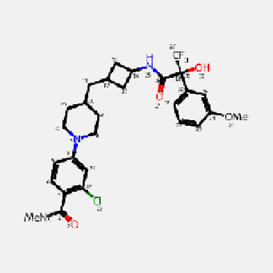 CNC(=O)c1ccc(N2CCC(CC3CC(NC(=O)[C@](O)(c4cccc(OC)c4)C(F)(F)F)C3)CC2)cc1Cl